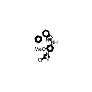 COc1cc(Nc2nc3c(s2)CCC[C@H]3c2ccccc2)ccc1-n1cnc(Cl)c1